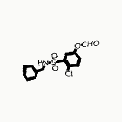 O=COc1ccc(Cl)c(S(=O)(=O)NCc2ccccc2)c1